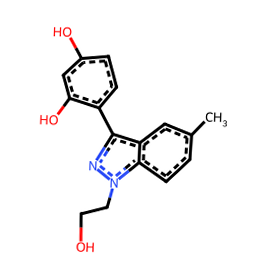 Cc1ccc2c(c1)c(-c1ccc(O)cc1O)nn2CCO